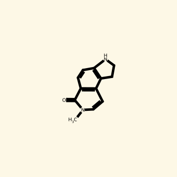 Cn1ccc2c3c(ccc2c1=O)NCC3